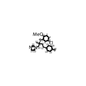 COc1ccc(Cl)cc1SC(C)(CCc1ccc(F)cc1)Cn1ccnc1